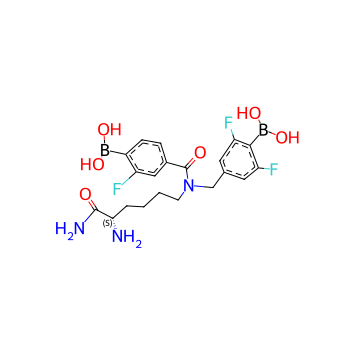 NC(=O)[C@@H](N)CCCCN(Cc1cc(F)c(B(O)O)c(F)c1)C(=O)c1ccc(B(O)O)c(F)c1